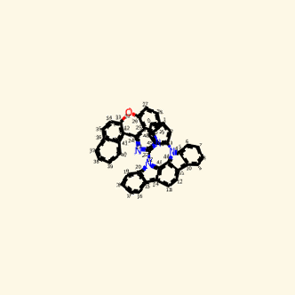 c1ccc(-n2c3ccccc3c3ccc4c5ccccc5n(-c5nc6c7c(cccc7n5)Oc5ccc7ccccc7c5-6)c4c32)cc1